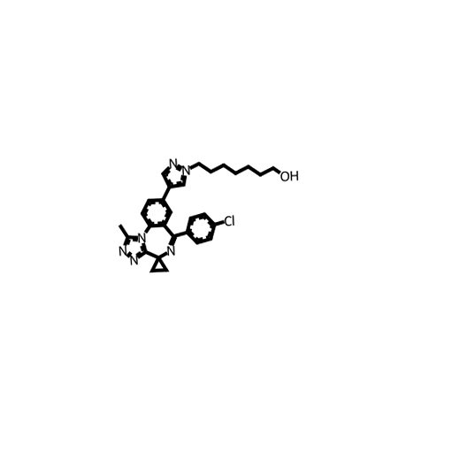 Cc1nnc2n1-c1ccc(-c3cnn(CCCCCCCO)c3)cc1C(c1ccc(Cl)cc1)=NC21CC1